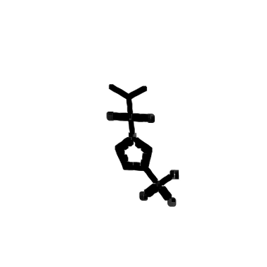 CC(C)S(=O)(=O)n1ccc(S(=O)(=O)Cl)c1